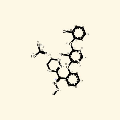 CO/N=C(/C1=NOCCO1)c1ccccc1Oc1ncnc(Oc2ccccc2Cl)c1F.NC(=S)S